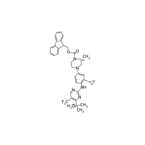 C[C@@H]1CN(c2ccc(Nc3ncc(C(F)(F)F)[c]([Sn]([CH3])([CH3])[CH3])n3)c(C3CC3)c2)CCN1C(=O)OCC1c2ccccc2-c2ccccc21